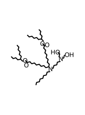 CCCCCCCCCN(CCCCCN(CCO)CCO)C(CCCCCCCCC(=O)OCC(CCCC)CCCCCC)CCCCCCCCC(=O)OCC(CCCC)CCCCCC